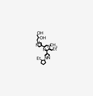 CC/C=C1/C(c2cnn([C@H]3CCC[C@H]3CC)c2)=NC(c2cnn(C[C@@H](O)CO)c2)=CN1C